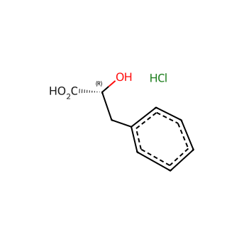 Cl.O=C(O)[C@H](O)Cc1ccccc1